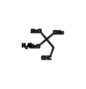 COC(CC=O)(OC)OC.[AlH3]